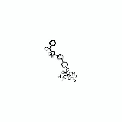 CC(C)(C)C(=O)ON1CCC(c2nc(C3=NOC(C(=O)c4ccccc4)C3)cs2)CC1